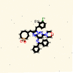 CCc1c(F)cccc1Cc1c(CC2CCCCS(=O)(=O)CC2)nc2c(N=C(c3ccccc3)c3ccccc3)cc(N3CCOCC3)nn12